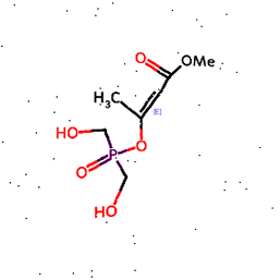 COC(=O)/C=C(\C)OP(=O)(CO)CO